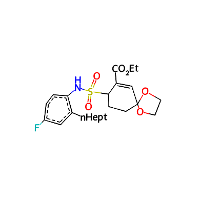 CCCCCCCc1cc(F)ccc1NS(=O)(=O)C1CCC2(C=C1C(=O)OCC)OCCO2